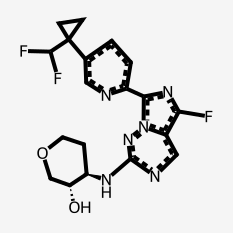 O[C@@H]1COCC[C@H]1Nc1ncc2c(F)nc(-c3ccc(C4(C(F)F)CC4)cn3)n2n1